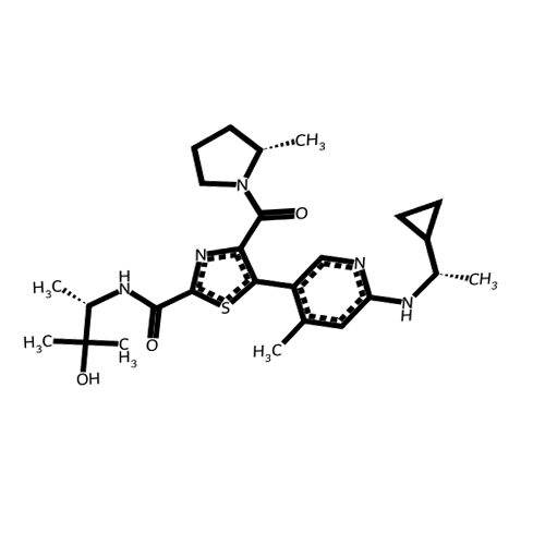 Cc1cc(N[C@@H](C)C2CC2)ncc1-c1sc(C(=O)N[C@@H](C)C(C)(C)O)nc1C(=O)N1CCC[C@@H]1C